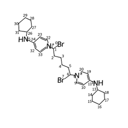 BrC(CCCCC(Br)[n+]1ccc(NC2CCCCC2)cc1)[n+]1ccc(NC2CCCCC2)cc1